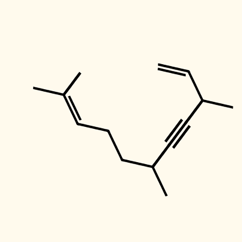 C=CC(C)C#CC(C)CCC=C(C)C